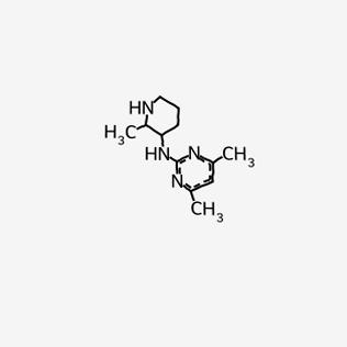 Cc1cc(C)nc(NC2CCCNC2C)n1